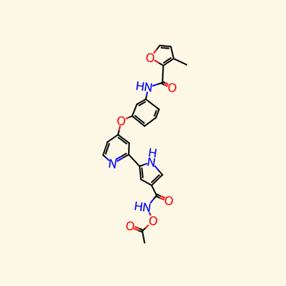 CC(=O)ONC(=O)c1c[nH]c(-c2cc(Oc3cccc(NC(=O)c4occc4C)c3)ccn2)c1